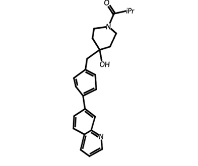 CC(C)C(=O)N1CCC(O)(Cc2ccc(-c3ccc4cccnc4c3)cc2)CC1